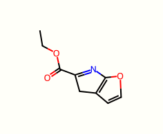 CCOC(=O)C1=Nc2occc2C1